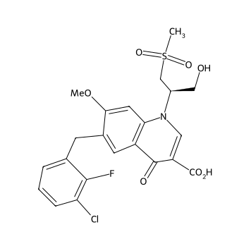 COc1cc2c(cc1Cc1cccc(Cl)c1F)c(=O)c(C(=O)O)cn2[C@H](CO)CS(C)(=O)=O